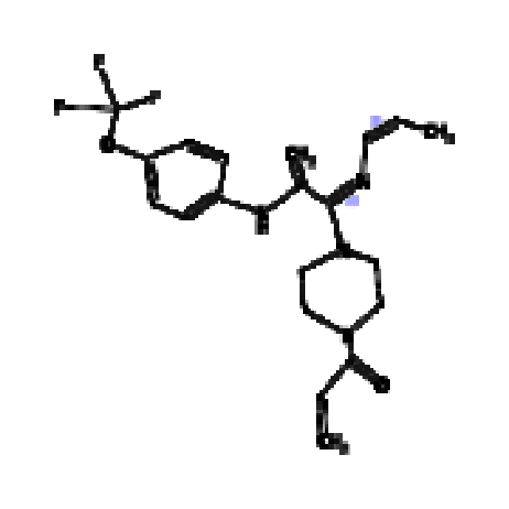 C=CC(=O)N1CCN(/C(=N/C=C\C)C(=C)Nc2ccc(OC(F)(F)F)cc2)CC1